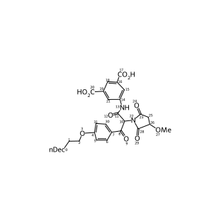 CCCCCCCCCCCCOc1ccc(C(=O)C(C(=O)Nc2cc(C(=O)O)cc(C(=O)O)c2)N2C(=O)CC(OC)C2=O)cc1